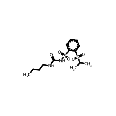 CCCCNC(=O)NS(=O)(=O)c1ccccc1S(=O)(=O)C(C)C